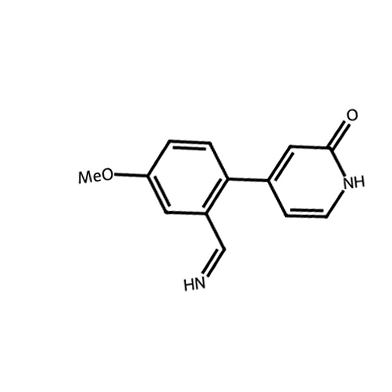 COc1ccc(-c2cc[nH]c(=O)c2)c(C=N)c1